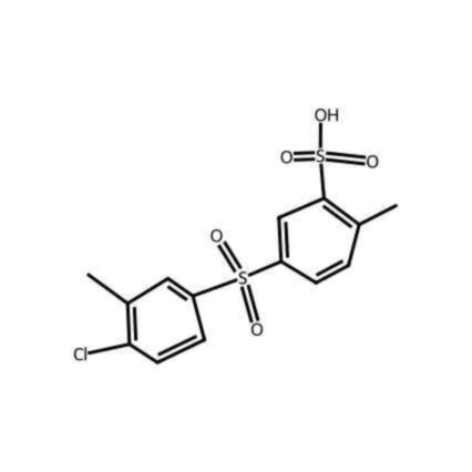 Cc1cc(S(=O)(=O)c2ccc(C)c(S(=O)(=O)O)c2)ccc1Cl